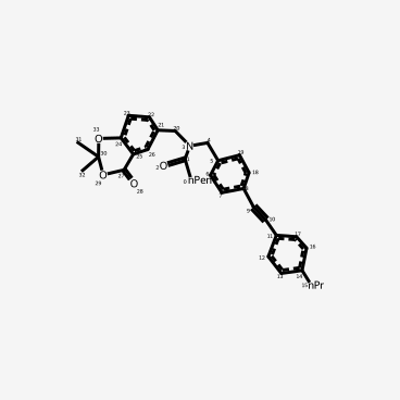 CCCCCC(=O)N(Cc1ccc(C#Cc2ccc(CCC)cc2)cc1)Cc1ccc2c(c1)C(=O)OC(C)(C)O2